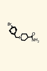 NC(=O)C1CCN(Cc2ccc(Br)cc2)CC1